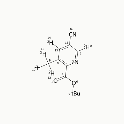 [2H]c1nc(C(=O)OC(C)(C)C)c(C([2H])([2H])[2H])c([2H])c1C#N